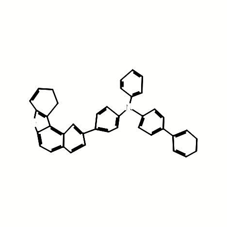 C1=CC(c2ccc(N(c3ccccc3)c3ccc(-c4ccc5ccc6oc7c(c6c5c4)CCC=C7)cc3)cc2)=CCC1